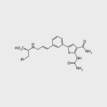 CC(C)C[C@H](NC/C=C/c1cccc(-c2cc(C(N)=O)c(NC(N)=O)s2)c1)C(=O)O